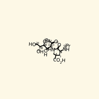 CC(C)N[C@@H](CC(C)C(=O)O)C(=O)N[C@H](C(=O)C(C)C)[C@@H](O)[C@H](O)[C@H](O)CO